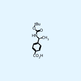 C[C@H](NC(=O)OC(C)(C)C)c1ccc(C(=O)O)cc1